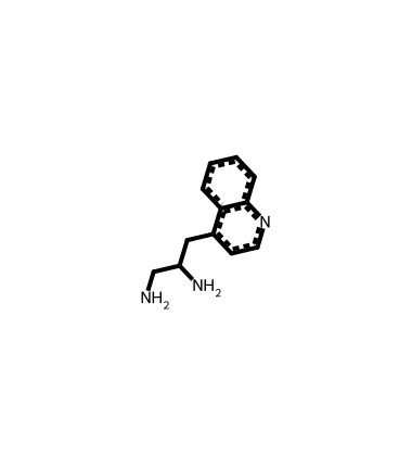 NCC(N)Cc1ccnc2ccccc12